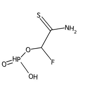 NC(=S)C(F)O[PH](=O)O